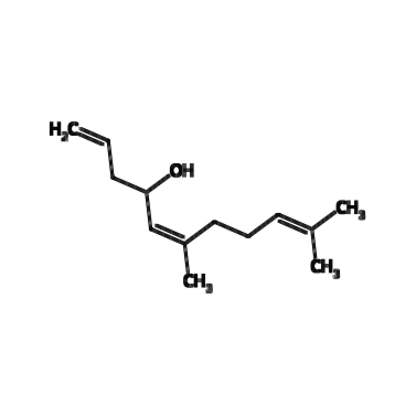 C=CCC(O)C=C(C)CCC=C(C)C